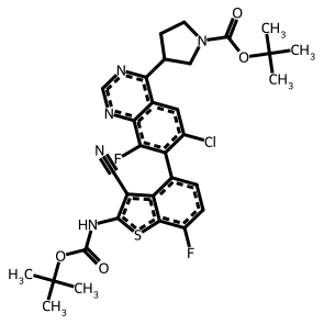 CC(C)(C)OC(=O)Nc1sc2c(F)ccc(-c3c(Cl)cc4c(C5CCN(C(=O)OC(C)(C)C)C5)ncnc4c3F)c2c1C#N